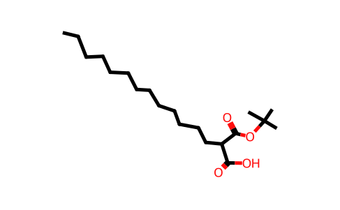 CCCCCCCCCCCCCC(C(=O)O)C(=O)OC(C)(C)C